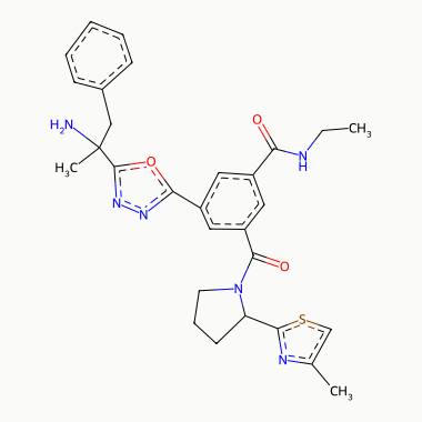 CCNC(=O)c1cc(C(=O)N2CCCC2c2nc(C)cs2)cc(-c2nnc(C(C)(N)Cc3ccccc3)o2)c1